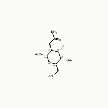 CC(=O)OC[C@H]1O[C@H](OC(C)=O)[C@@H](CC(N)=O)[C@H](F)[C@@H]1OC(C)=O